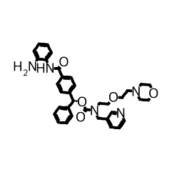 Nc1ccccc1NC(=O)c1ccc([C@@H](OC(=O)N(CCOCCN2CCOCC2)Cc2cccnc2)c2ccccc2)cc1